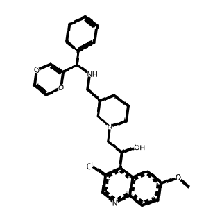 COc1ccc2ncc(Cl)c(C(O)CN3CCCC(CNC(C4=CC=CCC4)C4=COC=CO4)C3)c2c1